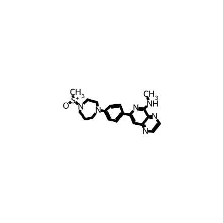 CNc1nc(-c2ccc(N3CCCN([S+](C)[O-])CC3)cc2)cc2nccnc12